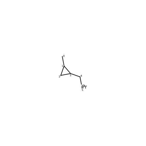 C[C]1CC1CC(C)C